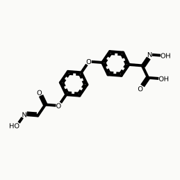 O=C(C=NO)Oc1ccc(Oc2ccc(C(=NO)C(=O)O)cc2)cc1